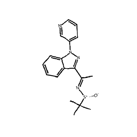 CC(=N[S@+]([O-])C(C)(C)C)c1nn(-c2cccnc2)c2ccccc12